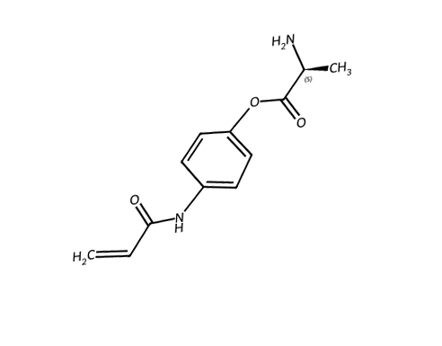 C=CC(=O)Nc1ccc(OC(=O)[C@H](C)N)cc1